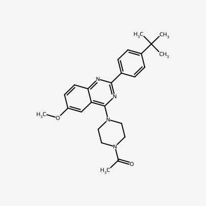 COc1ccc2nc(-c3ccc(C(C)(C)C)cc3)nc(N3CCN(C(C)=O)CC3)c2c1